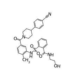 Cc1ccc(C(=O)N2CCC(c3ccc(C#N)cc3)CC2)cc1NS(=O)(=O)c1ccccc1C(=O)NCCO